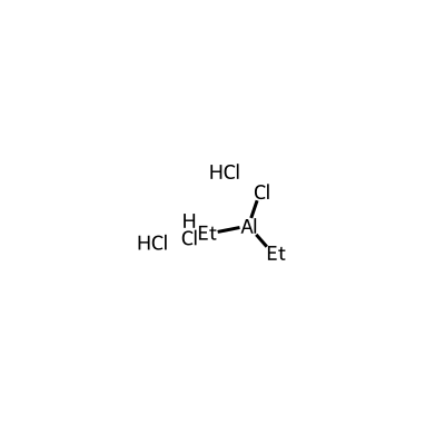 C[CH2][Al]([Cl])[CH2]C.Cl.Cl.Cl